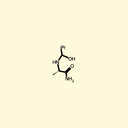 CC(C)C(O)N[C@@H](C)C(N)=O